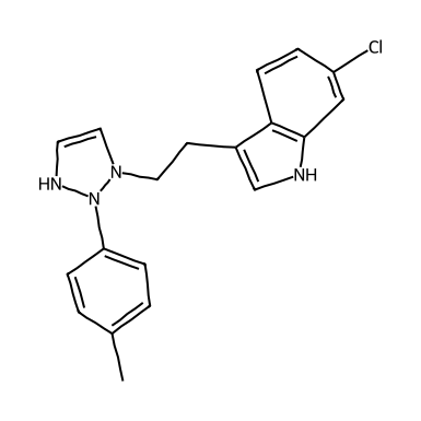 Cc1ccc(N2NC=CN2CCc2c[nH]c3cc(Cl)ccc23)cc1